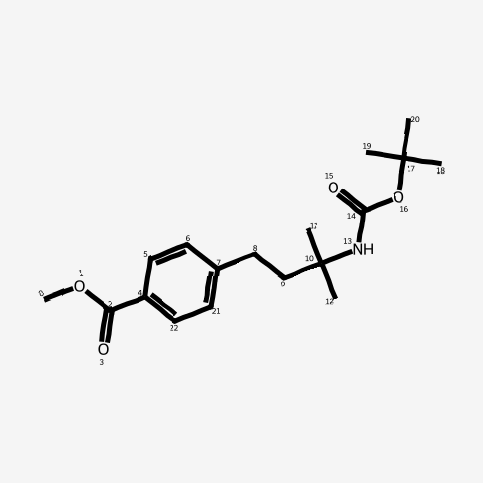 COC(=O)c1ccc(CCC(C)(C)NC(=O)OC(C)(C)C)cc1